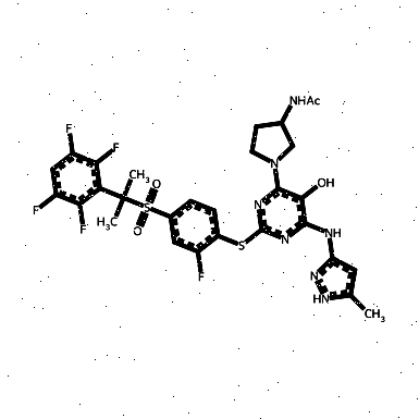 CC(=O)NC1CCN(c2nc(Sc3ccc(S(=O)(=O)C(C)(C)c4c(F)c(F)cc(F)c4F)cc3F)nc(Nc3cc(C)[nH]n3)c2O)C1